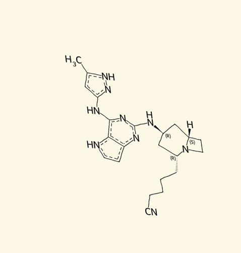 Cc1cc(Nc2nc(N[C@@H]3C[C@@H](CCCCC#N)N4CC[C@H]4C3)nc3cc[nH]c23)n[nH]1